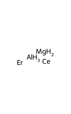 [AlH3].[Ce].[Er].[MgH2]